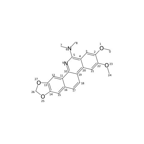 COc1cc2c(N(C)C)nc3c4cc5c(cc4ccc3c2cc1OC)OCO5